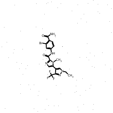 CCn1cc(-c2cnc(C(=O)Nc3ccc(C(N)=O)c(Br)c3)n2C)c(C(F)(F)F)n1